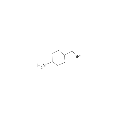 CC(C)CC1CCC(N)CC1